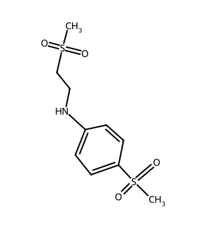 CS(=O)(=O)CCNc1ccc(S(C)(=O)=O)cc1